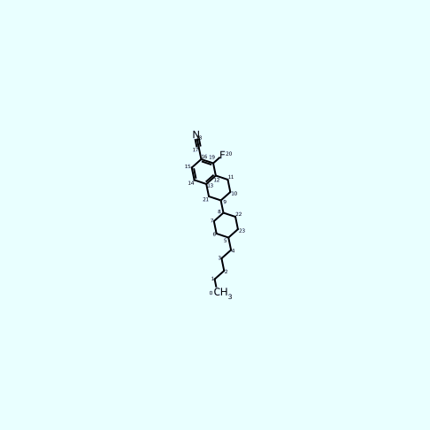 CCCCCC1CCC(C2CCc3c(ccc(C#N)c3F)C2)CC1